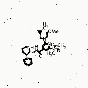 COCCN(C[C@H]1C[C@@H]1C)c1cc(C(=O)NC[C@H]2NCCC[C@H]2c2ccccc2)cc(N(C)S(C)(=O)=O)n1